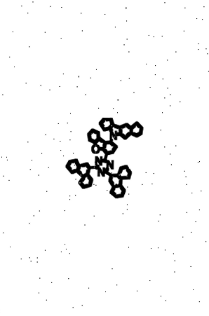 c1ccc2cc3c(cc2c1)c1ccccc1n3-c1ccc(-c2nc(-c3cc4ccccc4c4ccccc34)nc(-c3cc4ccccc4c4ccccc34)n2)c2oc3ccccc3c12